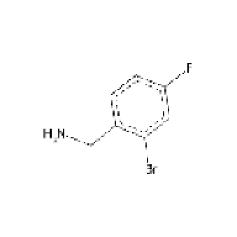 NCc1ccc(F)cc1Br